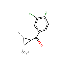 C[C@H]1[C@@H](C(=O)O)[C@@H]1C(=O)c1ccc(Cl)c(Cl)c1